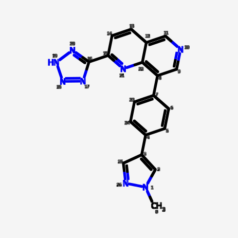 Cn1cc(-c2ccc(-c3cncc4ccc(-c5nn[nH]n5)nc34)cc2)cn1